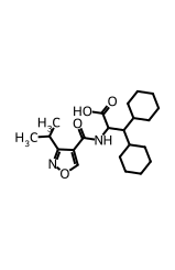 CC(C)c1nocc1C(=O)NC(C(=O)O)C(C1CCCCC1)C1CCCCC1